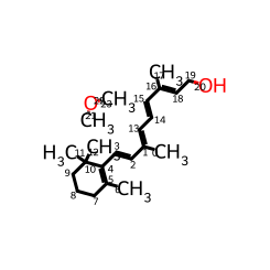 CC(C=CC1=C(C)CCCC1(C)C)=CC=CC(C)=CCO.COC